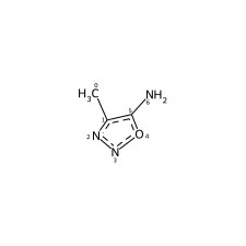 Cc1nnoc1N